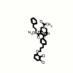 CC(=O)N1C[C@H]2CC(c3ccc(CCCOc4cccc(Cl)c4Cl)cc3)=C(C(=O)N(C)CCc3ccccc3)[C@@H](C1)N2